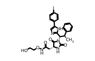 C[C@H](c1ccccc1)[C@@H](c1ncc(-c2ccc(I)cc2)[nH]1)N1C(=O)N[C@H](CC(=O)NOCCO)C1=O